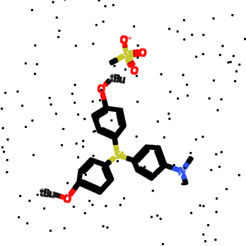 CN(C)c1ccc([S+](c2ccc(OC(C)(C)C)cc2)c2ccc(OC(C)(C)C)cc2)cc1.CS(=O)(=O)[O-]